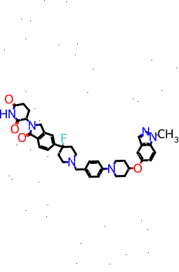 Cn1ncc2cc(OC3CCN(c4ccc(CN5CCC(F)(c6ccc7c(c6)CN(C6CCC(=O)NC6=O)C7=O)CC5)cc4)CC3)ccc21